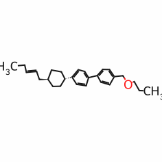 CCC=CC[C@H]1CC[C@H](c2ccc(-c3ccc(COCCC)cc3)cc2)CC1